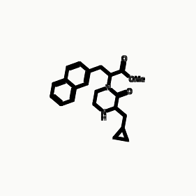 COC(=O)C(Cc1ccc2ccccc2c1)N1CCNC(CC2CC2)C1=O